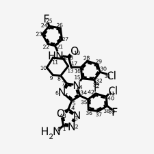 Nc1nnc(-c2nc(C3CCCCC3)n(-c3c(CC(=O)Nc4ccc(F)cc4)ccc(Cl)c3F)c2-c2ccc(F)c(Cl)c2)o1